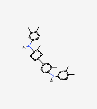 CC(=O)N(c1ccc(C)c(C)c1)c1ccc(-c2ccc(N(C(C)=O)c3ccc(C)c(C)c3)c(C)c2)cc1C